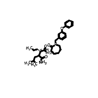 CCC[C@H](C(=O)N[C@H]1CCCCN(Cc2cccc(Oc3ccccc3)c2)C1=O)C(CC(C)C)C(N)=O